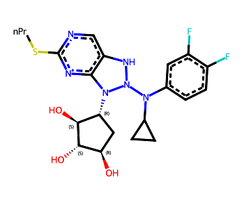 CCCSc1ncc2c(n1)N([C@@H]1C[C@@H](O)[C@H](O)[C@H]1O)N(N(c1ccc(F)c(F)c1)C1CC1)N2